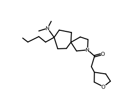 CCCCC1(N(C)C)CCC2(CCN(C(=O)CC3CCOC3)C2)CC1